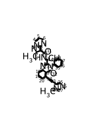 Cc1nn2cccnc2c1C(=O)N[C@@H](C)c1nc2cccc(C#Cc3cncn3C)c2c(=O)n1-c1ccccc1